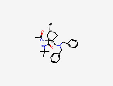 C=C[C@@H]1CC[C@@H](CN(Cc2ccccc2)Cc2ccccc2)[C@@](NC(C)=O)(C(=O)NC(C)(C)C)C1